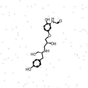 O=CNc1cc(OC[C@@H](O)CN[C@H](CO)Cc2ccc(O)cc2)ccc1O